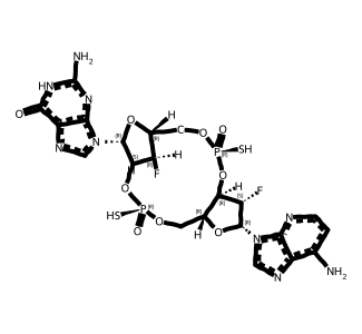 Nc1nc2c(ncn2[C@@H]2O[C@@H]3CO[P@@](=O)(S)O[C@H]4[C@H](F)[C@H](n5cnc6c(N)ccnc65)O[C@@H]4CO[P@@](=O)(S)O[C@@H]2[C@@H]3F)c(=O)[nH]1